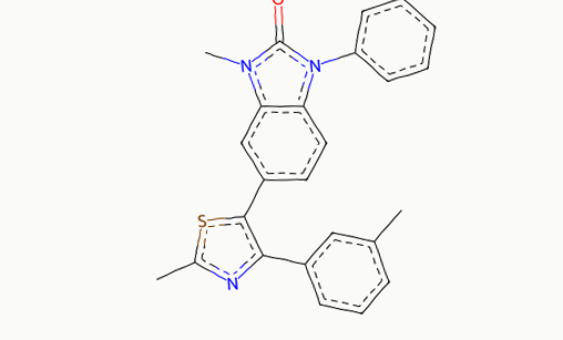 Cc1cccc(-c2nc(C)sc2-c2ccc3c(c2)n(C)c(=O)n3-c2ccccc2)c1